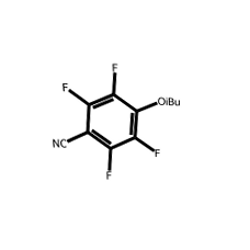 CC(C)COc1c(F)c(F)c(C#N)c(F)c1F